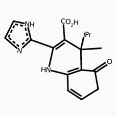 CC(C)C1(C)C2=C(C=CCC2=O)NC(c2ncc[nH]2)=C1C(=O)O